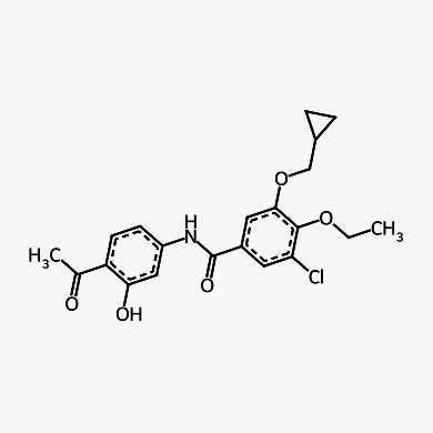 CCOc1c(Cl)cc(C(=O)Nc2ccc(C(C)=O)c(O)c2)cc1OCC1CC1